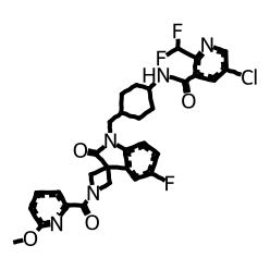 COc1cccc(C(=O)N2CC3(C2)C(=O)N(CC2CCC(NC(=O)c4cc(Cl)cnc4C(F)F)CC2)c2ccc(F)cc23)n1